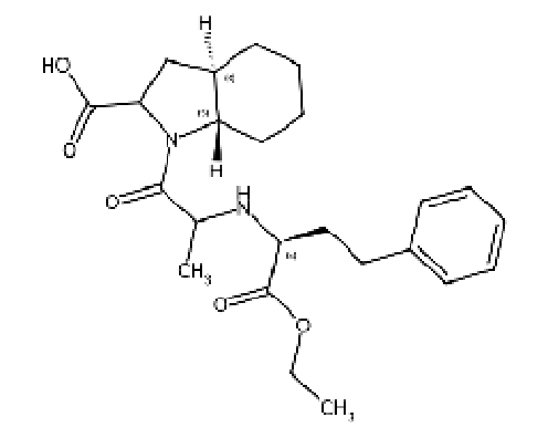 CCOC(=O)[C@H](CCc1ccccc1)NC(C)C(=O)N1C(C(=O)O)C[C@H]2CCCC[C@@H]21